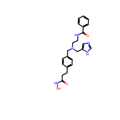 O=C(CCc1ccc(CN(CCNC(=O)c2ccccc2)Cc2cnc[nH]2)cc1)NO